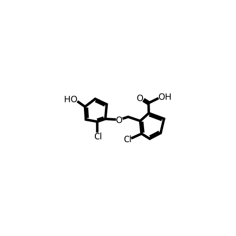 O=C(O)c1cccc(Cl)c1COc1ccc(O)cc1Cl